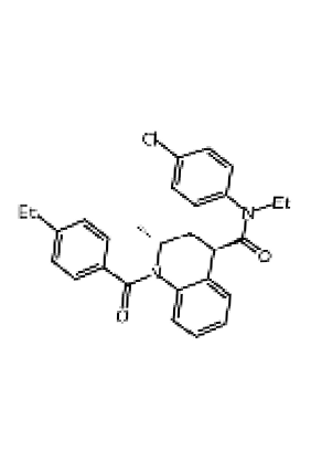 CCc1ccc(C(=O)N2c3ccccc3[C@H](C(=O)N(CC)c3ccc(Cl)cc3)C[C@H]2C)cc1